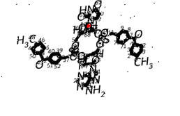 Cc1ccc(C(=O)c2ccc(CSP3(=O)OC[C@H]4O[C@@H](n5cnc6c(N)ncnc65)[C@H](F)[C@@H]4OP(=O)(SCc4ccc(C(=O)c5ccc(C)cc5)cc4)OC[C@H]4O[C@@H](n5ccc(=O)[nH]c5=O)[C@H](O3)[C@@H]4F)cc2)cc1